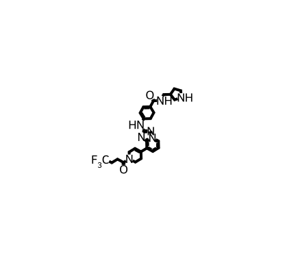 O=C(NCC1CCNC1)C1=CC=C(Nc2nc3c(C4=CCN(C(=O)CCC(F)(F)F)CC4)cccn3n2)CC1